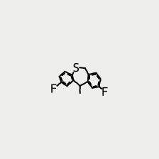 CC1c2cc(F)ccc2CSc2ccc(F)cc21